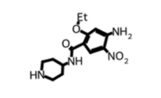 CCOc1cc(N)c([N+](=O)[O-])cc1C(=O)NC1CCNCC1